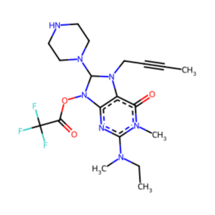 CC#CCN1c2c(nc(N(C)CC)n(C)c2=O)N(OC(=O)C(F)(F)F)C1N1CCNCC1